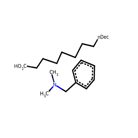 CCCCCCCCCCCCCCCCCC(=O)O.CN(C)Cc1ccccc1